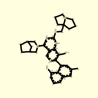 Cc1cc(-c2ncc3c(N4CC5CCC(C5)C4)nc(OCC45CCCN4CCC5)nc3c2F)c2c(F)cccc2c1